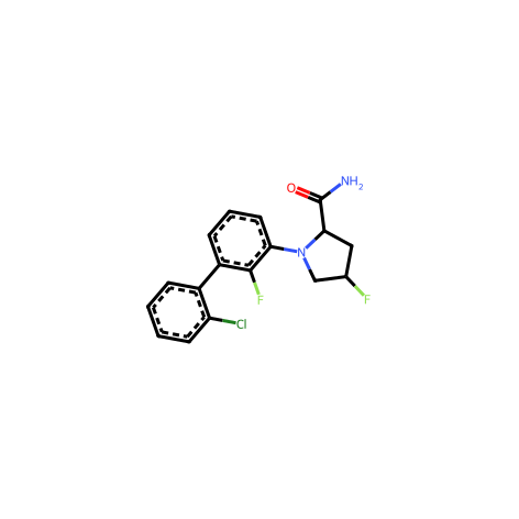 NC(=O)C1CC(F)CN1c1cccc(-c2ccccc2Cl)c1F